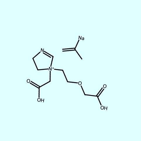 C=[C](C)[Na].O=C(O)COCC[N+]1(CC(=O)O)C=NCC1